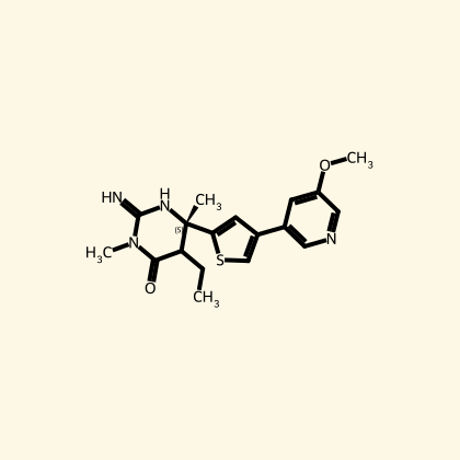 CCC1C(=O)N(C)C(=N)N[C@]1(C)c1cc(-c2cncc(OC)c2)cs1